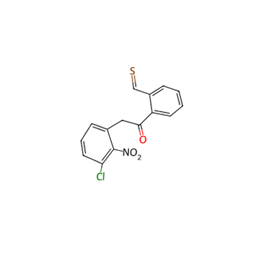 O=C(Cc1cccc(Cl)c1[N+](=O)[O-])c1ccccc1C=S